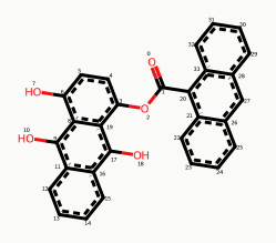 O=C(Oc1ccc(O)c2c(O)c3ccccc3c(O)c12)c1c2ccccc2cc2ccccc12